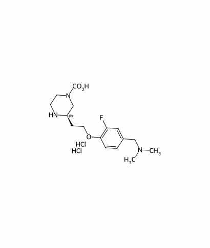 CN(C)Cc1ccc(OCC[C@@H]2CN(C(=O)O)CCN2)c(F)c1.Cl.Cl